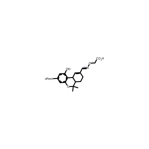 CCCCCc1cc(O)c2c(c1)OC(C)(C)C1CCC(/C=N/OCC(=O)O)=CC21